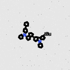 CC(C)(C)c1ccc2c(c1)c1cc(-c3cccc4c(N(c5ccccc5)c5ccc(-c6ccccc6)cc5)cccc34)ccc1n2-c1ccccc1